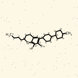 CCCCC1CCc2cc(C3CCC(C4CCC(C)CC4)CC3)c(F)c(F)c2O1